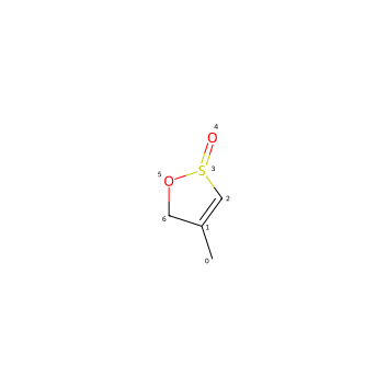 CC1=CS(=O)OC1